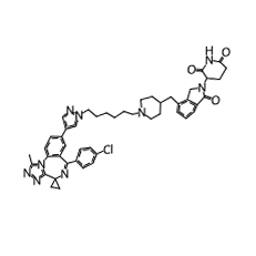 Cc1nnc2n1-c1ccc(-c3cnn(CCCCCCN4CCC(Cc5cccc6c5CN(C5CCC(=O)NC5=O)C6=O)CC4)c3)cc1C(c1ccc(Cl)cc1)=NC21CC1